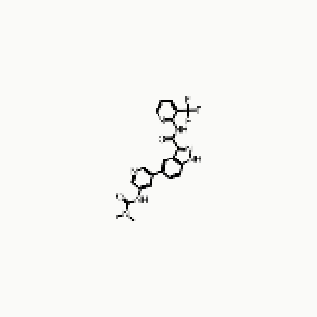 CN(C)C(=O)Nc1cncc(-c2ccc3[nH]nc(C(=O)Nc4ncccc4C(F)(F)F)c3c2)c1